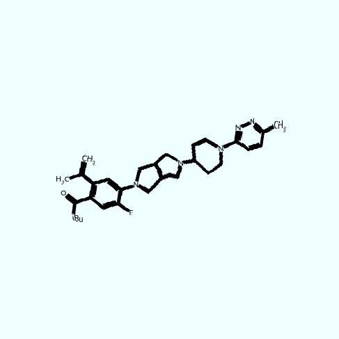 C=C(C)c1cc(N2CC3CN(C4CCN(c5ccc(C)nn5)CC4)CC3C2)c(F)cc1C(=O)C(C)CC